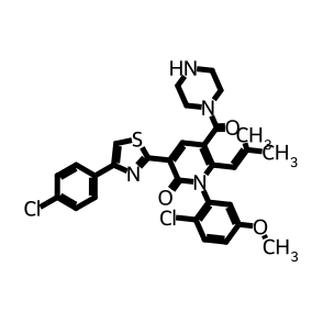 COc1ccc(Cl)c(-n2c(C=C(C)C)c(C(=O)N3CCNCC3)cc(-c3nc(-c4ccc(Cl)cc4)cs3)c2=O)c1